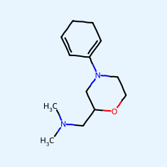 CN(C)CC1CN(C2=CCCC=C2)CCO1